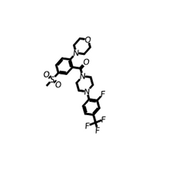 CS(=O)(=O)c1ccc(N2CCOCC2)c(C(=O)N2CCN(c3ccc(C(F)(F)F)cc3F)CC2)c1